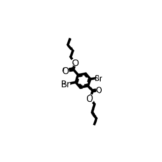 CCCCOC(=O)c1cc(Br)c(C(=O)OCCCC)cc1Br